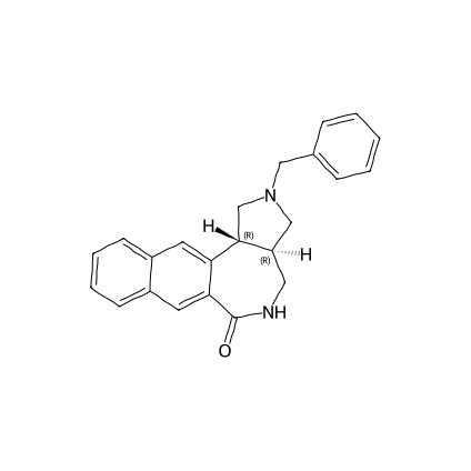 O=C1NC[C@@H]2CN(Cc3ccccc3)C[C@H]2c2cc3ccccc3cc21